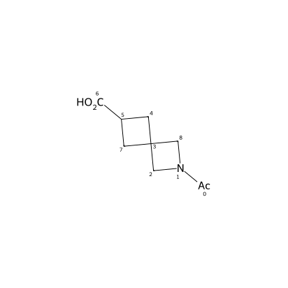 CC(=O)N1CC2(CC(C(=O)O)C2)C1